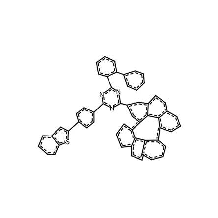 c1ccc(-c2ccccc2-c2nc(-c3ccc(-c4cc5ccccc5s4)cc3)nc(-c3cc4ccc5cccc6c7cccc8ccc9cccc(c(c3)c4c56)c9c87)n2)cc1